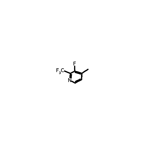 Cc1ccnc(C(F)(F)F)c1F